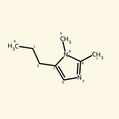 CCCc1cnc(C)n1C